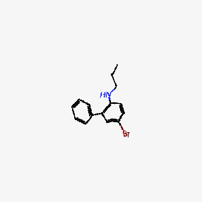 CCCNc1ccc(Br)cc1-c1ccccc1